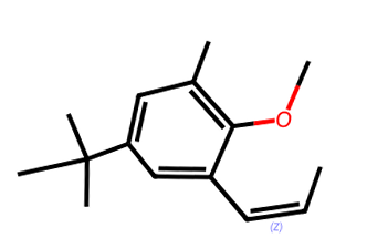 C/C=C\c1cc(C(C)(C)C)cc(C)c1OC